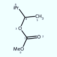 COC(=O)OC(C)C(C)C